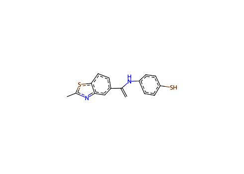 C=C(Nc1ccc(S)cc1)c1ccc2sc(C)nc2c1